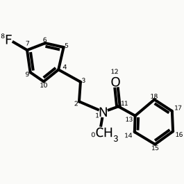 CN(CCc1ccc(F)cc1)C(=O)c1ccccc1